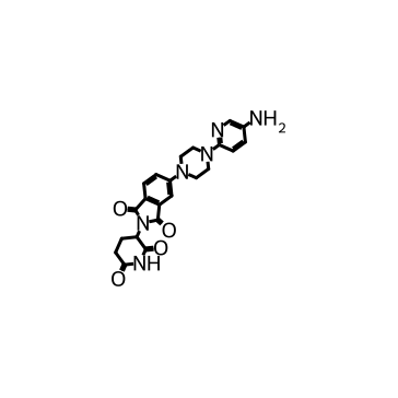 Nc1ccc(N2CCN(c3ccc4c(c3)C(=O)N(C3CCC(=O)NC3=O)C4=O)CC2)nc1